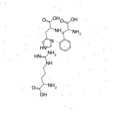 N=C(N)NCCCC(N)C(=O)O.NC(Cc1c[nH]cn1)C(=O)O.NC(Cc1ccccc1)C(=O)O